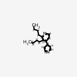 CCCCc1nccc(-c2ccncc2)c1CCCC